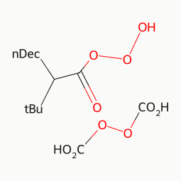 CCCCCCCCCCC(C(=O)OOO)C(C)(C)C.O=C(O)OOC(=O)O